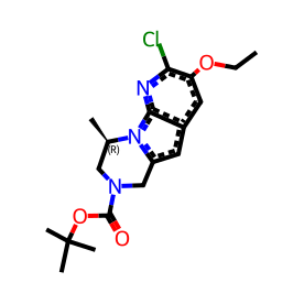 CCOc1cc2cc3n(c2nc1Cl)[C@H](C)CN(C(=O)OC(C)(C)C)C3